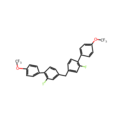 Fc1cc(Cc2ccc(-c3ccc(OC(F)(F)F)cc3)c(F)c2)ccc1-c1ccc(OC(F)(F)F)cc1